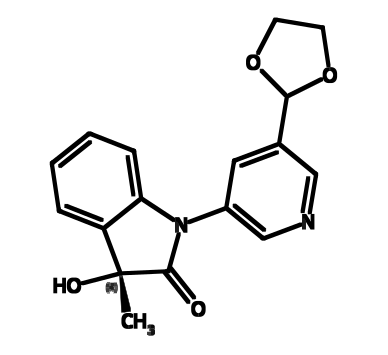 C[C@]1(O)C(=O)N(c2cncc(C3OCCO3)c2)c2ccccc21